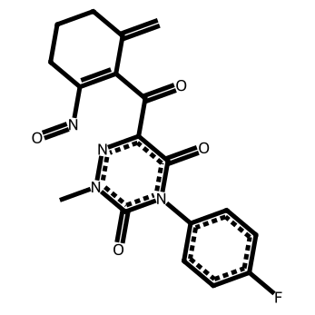 C=C1CCCC(N=O)=C1C(=O)c1nn(C)c(=O)n(-c2ccc(F)cc2)c1=O